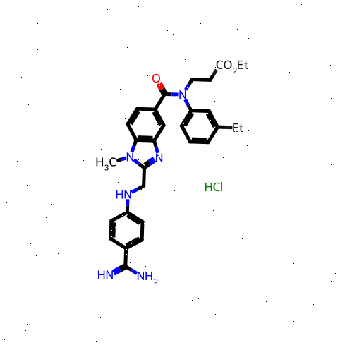 CCOC(=O)CCN(C(=O)c1ccc2c(c1)nc(CNc1ccc(C(=N)N)cc1)n2C)c1cccc(CC)c1.Cl